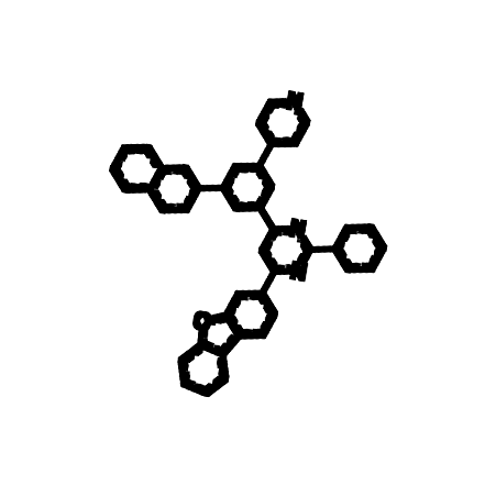 c1ccc(-c2nc(-c3cc(-c4ccncc4)cc(-c4ccc5ccccc5c4)c3)cc(-c3ccc4c(c3)oc3ccccc34)n2)cc1